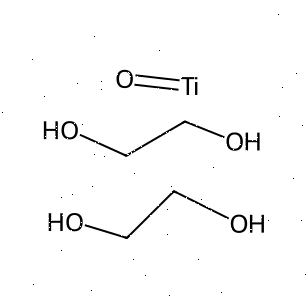 OCCO.OCCO.[O]=[Ti]